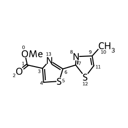 COC(=O)c1csc(-c2nc(C)cs2)n1